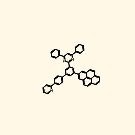 c1ccc(-c2cc(-c3ccccc3)nc(-c3cc(-c4ccc(-c5ccccn5)cc4)cc(-c4cc5ccc6cccc7ccc(c4)c5c67)c3)n2)cc1